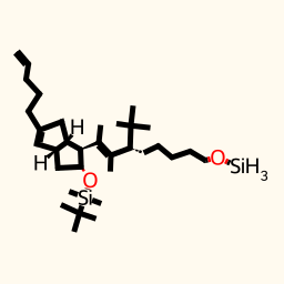 C=CCCCC1=C[C@H]2C[C@@H](O[Si](C)(C)C(C)(C)C)[C@H](/C(C)=C(\C)[C@@H](CCCCCO[SiH3])C(C)(C)C)[C@H]2C1